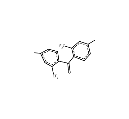 Cc1ccc(C(=O)c2ccc(C)cc2C(F)(F)F)c(C(F)(F)F)c1